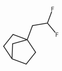 FC(F)CC12CCC(CC1)C2